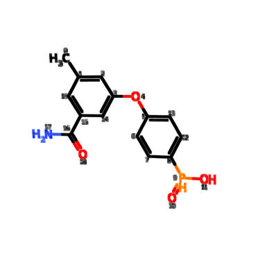 Cc1cc(Oc2ccc([PH](=O)O)cc2)cc(C(N)=O)c1